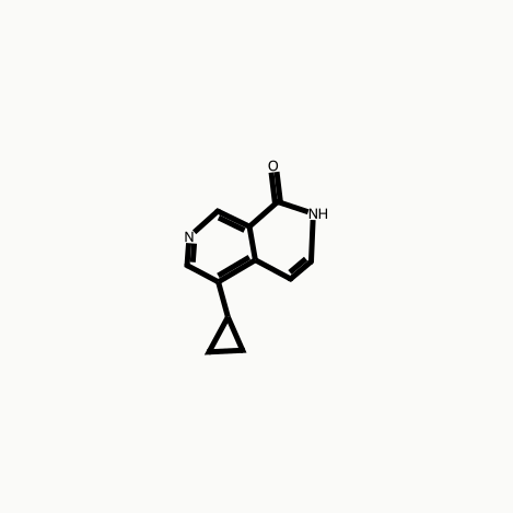 O=c1[nH]ccc2c(C3CC3)cncc12